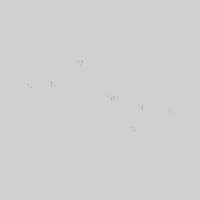 COc1cc(Nc2cccn3cc(C(C)(C)C)nc23)ccc1-n1cnc(C)c1